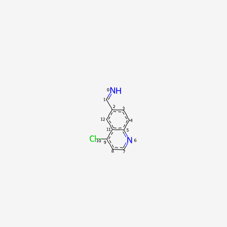 N=Cc1ccc2nccc(Cl)c2c1